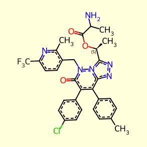 Cc1ccc(-c2c(-c3ccc(Cl)cc3)c(=O)n(Cc3ccc(C(F)(F)F)nc3C)n3c([C@H](C)OC(=O)C(C)N)nnc23)cc1